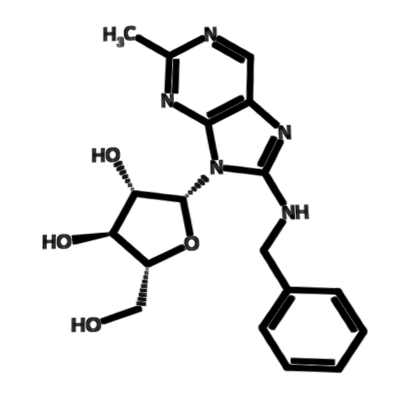 Cc1ncc2nc(NCc3ccccc3)n([C@@H]3O[C@H](CO)[C@@H](O)[C@@H]3O)c2n1